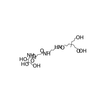 CC(CCCO)(CCCOO)CCCONCCCCCCNC(=O)CCCOC1OC(CO)C(O)C(O)C1N